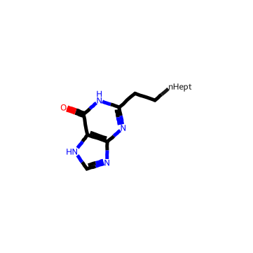 CCCCCCCCCc1nc2nc[nH]c2c(=O)[nH]1